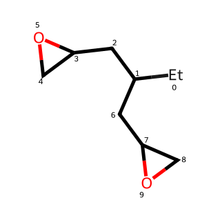 [CH2]CC(CC1CO1)CC1CO1